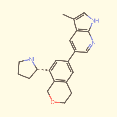 Cc1c[nH]c2ncc(-c3cc4c(c([C@@H]5CCCN5)c3)COCC4)cc12